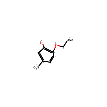 COCOc1ccc([N+](=O)[O-])cc1Br